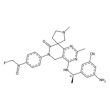 Cc1nc(N[C@H](C)c2cc(N)cc(C#N)c2)c2c(n1)C1(CCN(C)C1)C(=O)N(c1ccc(C(=O)CF)cc1)C2